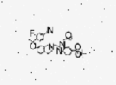 C[C@H](Oc1ccc2c(c1)CN(Cc1nc3ccc(C(=O)OC(C)(C)C)cc3n1C[C@@H]1CCO1)CC2)c1ccc(C#N)cc1F